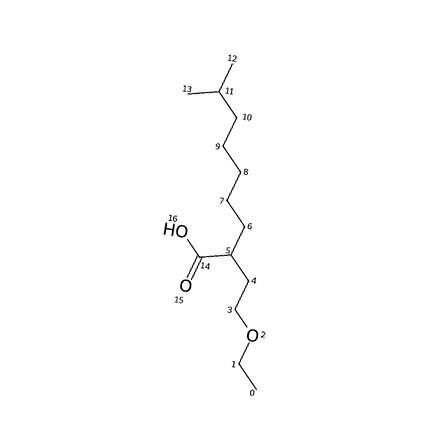 CCOCCC(CCCCCC(C)C)C(=O)O